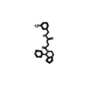 O=C(CCC(=O)N1CCn2cccc2C1c1ccncc1)NCc1cccc(C(F)(F)F)c1